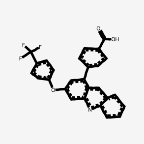 O=C(O)c1ccc(-c2cc(Oc3ccc(C(F)(F)F)cc3)cc3nc4ccccc4cc23)cc1